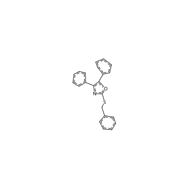 c1ccc(CSc2nc(-c3ccccc3)c(-c3ccccc3)o2)cc1